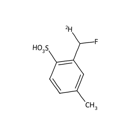 [2H]C(F)c1cc(C)ccc1S(=O)(=O)O